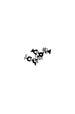 Cc1cc(N2CCC(F)(F)CC2)nc(NC(=O)c2ccc(NSC3(O)CC3)cc2N2CCC3(CC2)CC3)n1